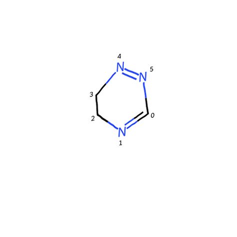 C1=NCCN=N1